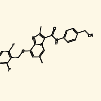 Cc1cc(OCc2c(F)cccc2F)c2nc(C)c(C(=O)Nc3ccc(CC#N)cc3)n2c1